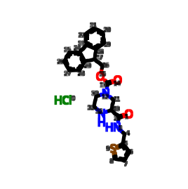 Cl.O=C(NCc1cccs1)C1CN(C(=O)OCC2c3ccccc3-c3ccccc32)CCN1